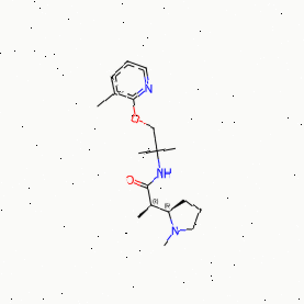 Cc1cccnc1OCC(C)(C)NC(=O)[C@H](C)[C@H]1CCCN1C